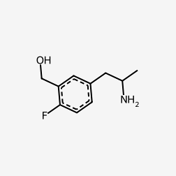 CC(N)Cc1ccc(F)c(CO)c1